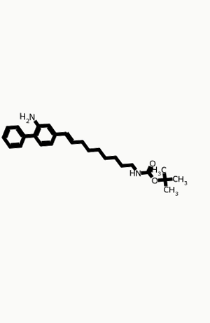 CC(C)(C)OC(=O)NCCCCCCC/C=C/c1ccc(-c2ccccc2)c(N)c1